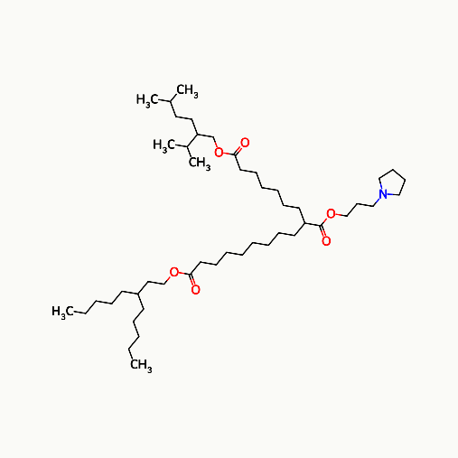 CCCCCC(CCCCC)CCOC(=O)CCCCCCCCC(CCCCCCC(=O)OCC(CCC(C)C)C(C)C)C(=O)OCCCN1CCCC1